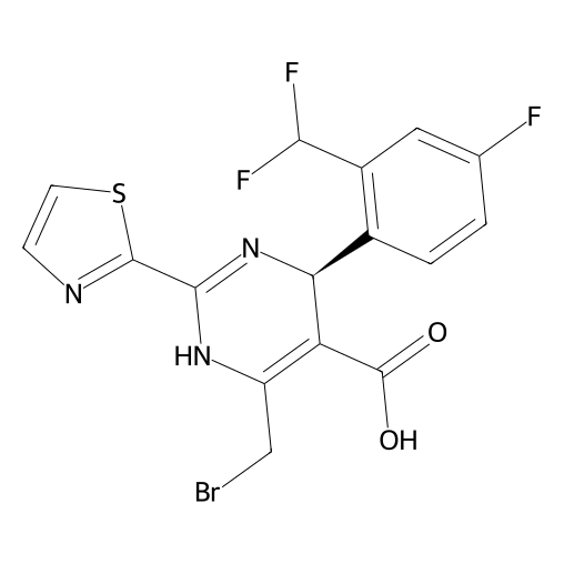 O=C(O)C1=C(CBr)NC(c2nccs2)=N[C@H]1c1ccc(F)cc1C(F)F